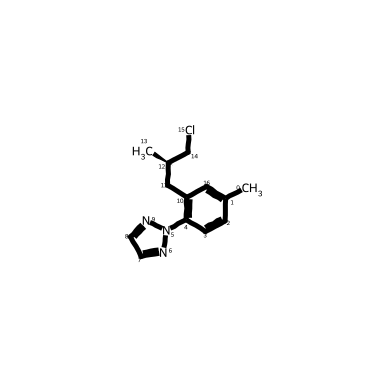 Cc1ccc(-n2nccn2)c(C[C@@H](C)CCl)c1